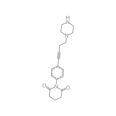 O=C1CCCC(=O)N1c1ccc(C#CCCN2CCNCC2)cc1